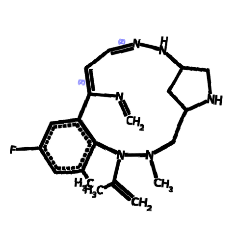 C=N/C1=C\C=N/NC2CNC(C2)CN(C)N(C(=C)C)c2c(C)cc(F)cc21